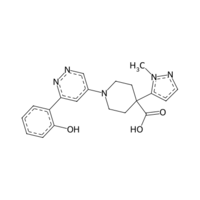 Cn1nccc1C1(C(=O)O)CCN(c2cnnc(-c3ccccc3O)c2)CC1